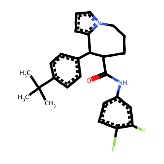 CC(C)(C)c1ccc(C2c3cccn3CCCC2C(=O)Nc2ccc(F)c(F)c2)cc1